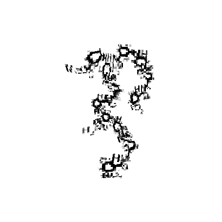 COC(=O)c1cccc(NC2CCN(S(=O)(=O)c3ccc(CNC(=O)c4cccc([N+](=O)[O-])c4)s3)CC2)c1.NC(=O)c1cccc(NC2CCN(S(=O)(=O)c3ccc(CNC(=O)c4cccc([N+](=O)[O-])c4)s3)CC2)c1.NS(=O)(=O)c1cccc(NC2CCN(S(=O)(=O)c3ccc(CNC(=O)c4cccc([N+](=O)[O-])c4)s3)CC2)c1